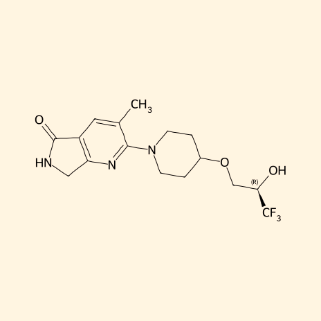 Cc1cc2c(nc1N1CCC(OC[C@@H](O)C(F)(F)F)CC1)CNC2=O